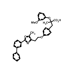 COc1cccc(OC(C)(Cc2ccc(OCCc3nc(-c4cccc(-c5ccccc5)c4)oc3C)cc2)C(=O)O)c1